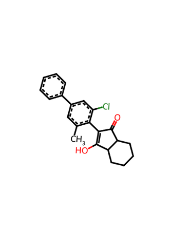 Cc1cc(-c2ccccc2)cc(Cl)c1C1=C(O)C2CCCCC2C1=O